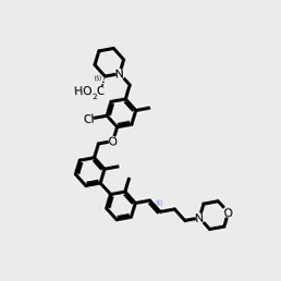 Cc1cc(OCc2cccc(-c3cccc(/C=C/CCN4CCOCC4)c3C)c2C)c(Cl)cc1CN1CCCC[C@H]1C(=O)O